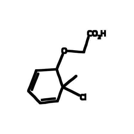 CC1(Cl)C=CC=CC1OCC(=O)O